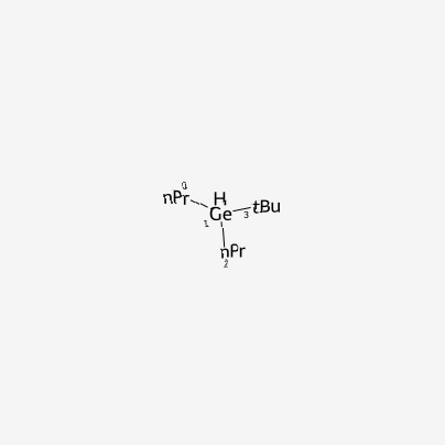 CC[CH2][GeH]([CH2]CC)[C](C)(C)C